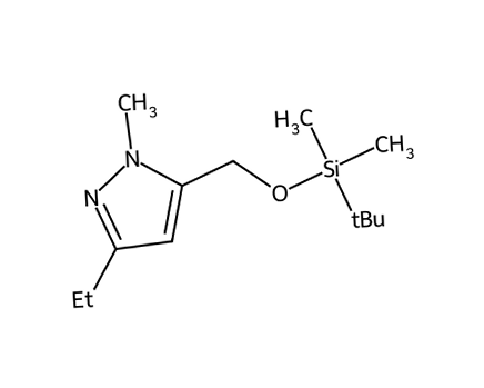 CCc1cc(CO[Si](C)(C)C(C)(C)C)n(C)n1